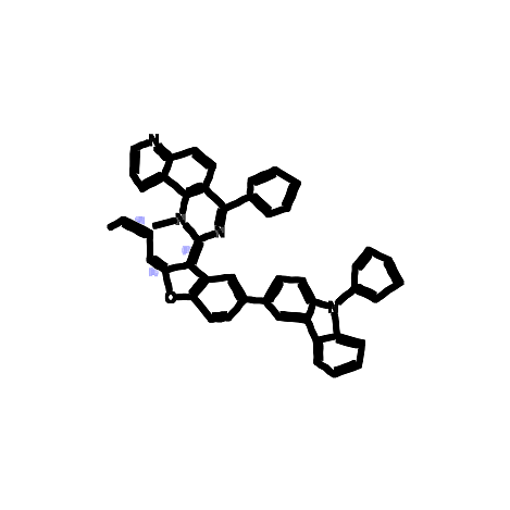 C\C=C/C=c1/oc2ccc(-c3ccc4c(c3)c3ccccc3n4-c3ccccc3)cc2/c1=C1\N=C(c2ccccc2)c2ccc3ncccc3c2N1C